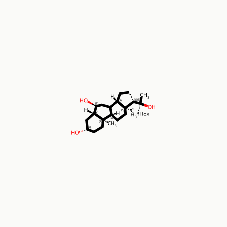 CCCCCC[C@](C)(O)[C@H]1CC[C@H]2C3C[C@H](O)[C@H]4C[C@@H](O)CC[C@]4(C)[C@H]3CC[C@@]21C